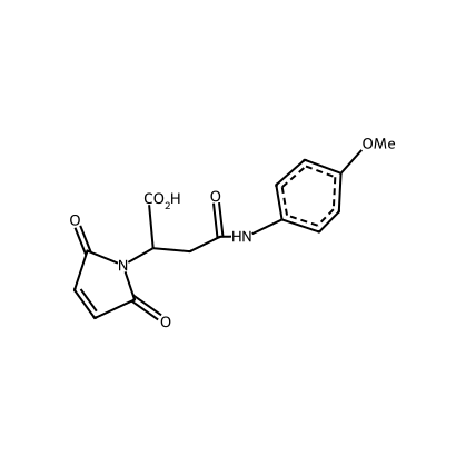 COc1ccc(NC(=O)CC(C(=O)O)N2C(=O)C=CC2=O)cc1